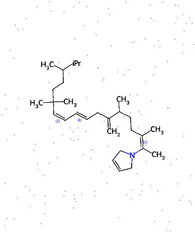 C=C(C/C=C/C=C\C(C)(C)CCC(C)C(C)C)C(C)CC/C(C)=C(/C)N1CC=CC1